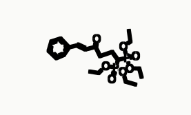 CCOP(=O)(OCC)C(CCC(=O)C=Cc1ccccc1)P(=O)(OCC)OCC